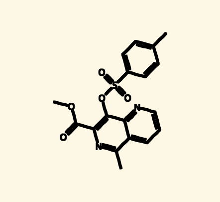 COC(=O)c1nc(C)c2cccnc2c1OS(=O)(=O)c1ccc(C)cc1